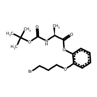 C[C@H](NC(=O)OC(C)(C)C)C(=O)Oc1ccccc1OCCCBr